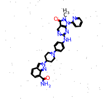 Cn1c(=O)c2cnc(Nc3ccc(N4CCC(n5cc6cccc(C(N)=O)c6n5)CC4)cc3)nc2n1-c1ccccn1